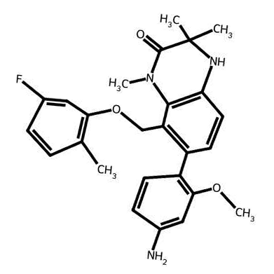 COc1cc(N)ccc1-c1ccc2c(c1COc1cc(F)ccc1C)N(C)C(=O)C(C)(C)N2